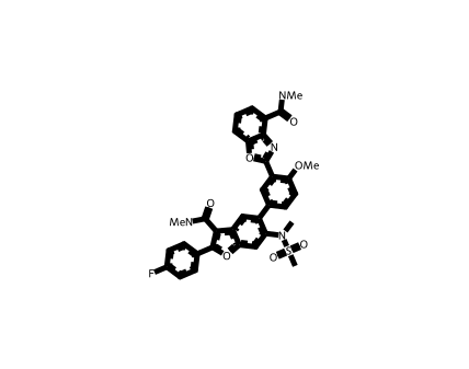 CNC(=O)c1c(-c2ccc(F)cc2)oc2cc(N(C)S(C)(=O)=O)c(-c3ccc(OC)c(-c4nc5c(C(=O)NC)cccc5o4)c3)cc12